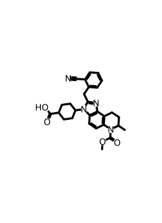 COC(=O)N1c2ccc3c(nc(Cc4ccccc4C#N)n3C3CCC(C(=O)O)CC3)c2CCC1C